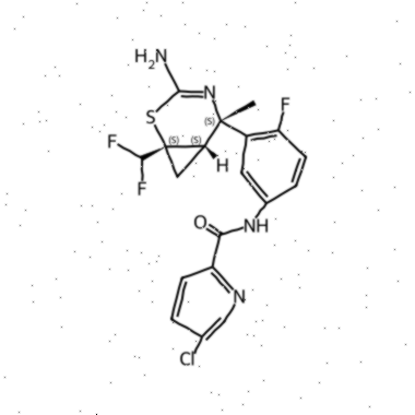 C[C@]1(c2cc(NC(=O)c3ccc(Cl)cn3)ccc2F)N=C(N)S[C@@]2(C(F)F)C[C@@H]12